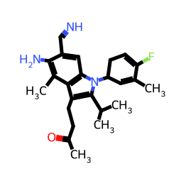 CC(=O)CCc1c(C(C)C)n(C2C=C(C)C(F)=CC2)c2cc(C=N)c(N)c(C)c12